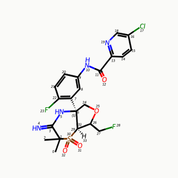 CC1(C)C(=N)N[C@@]2(c3cc(NC(=O)c4ccc(Cl)cn4)ccc3F)COC(CF)[C@H]2S1(=O)=O